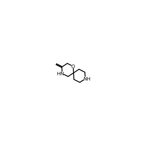 C=C1COC2(CCNCC2)CN1